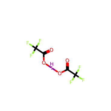 O=C(O[IH]OC(=O)C(F)(F)F)C(F)(F)F